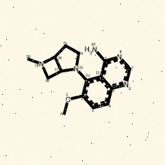 COc1ccc2ncnc(N)c2c1N1CCC2C1CN2C